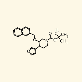 CC(C)(C)OC(=O)N1CCC(c2ccoc2)C(OCc2ccc3ccccc3c2)C1